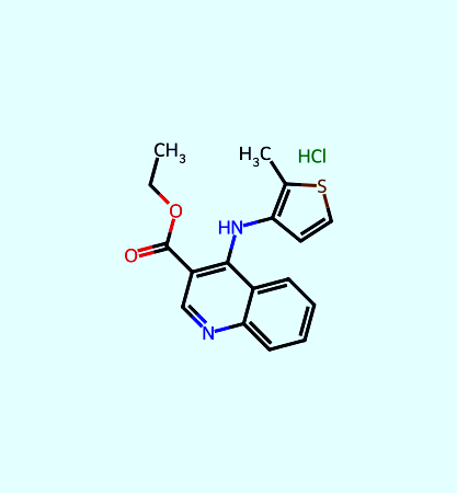 CCOC(=O)c1cnc2ccccc2c1Nc1ccsc1C.Cl